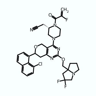 C=C(F)C(=O)N1CCN(c2nc(OCC34CCCN3CC(F)(F)C4)nc3c2COC(c2cccc4cccc(Cl)c24)C3)C[C@@H]1CC#N